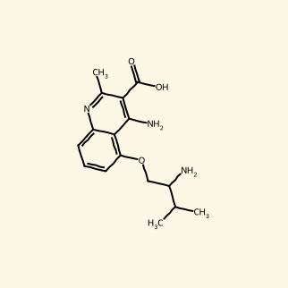 Cc1nc2cccc(OCC(N)C(C)C)c2c(N)c1C(=O)O